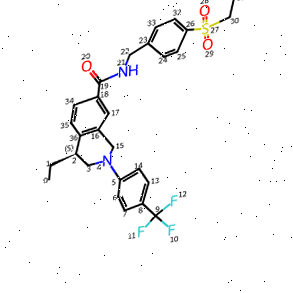 CC[C@@H]1CN(c2ccc(C(F)(F)F)cc2)Cc2cc(C(=O)NCc3ccc(S(=O)(=O)CC)cc3)ccc21